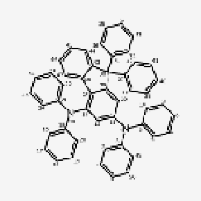 c1ccc(N(c2ccccc2)c2cc(N(c3ccccc3)c3ccccc3)c3c(c2)C(c2ccccc2)(c2ccccc2)c2ccccc2-3)cc1